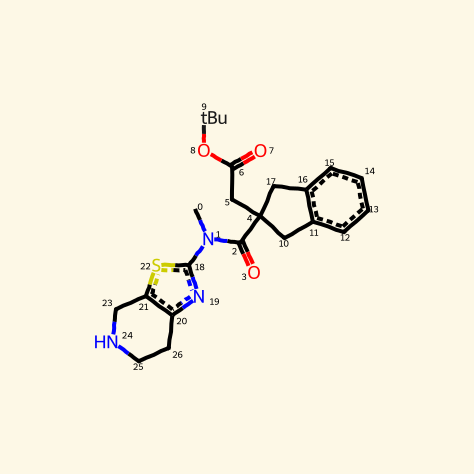 CN(C(=O)C1(CC(=O)OC(C)(C)C)Cc2ccccc2C1)c1nc2c(s1)CNCC2